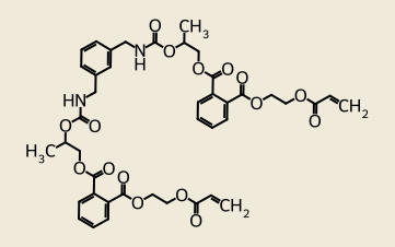 C=CC(=O)OCCOC(=O)c1ccccc1C(=O)OCC(C)OC(=O)NCc1cccc(CNC(=O)OC(C)COC(=O)c2ccccc2C(=O)OCCOC(=O)C=C)c1